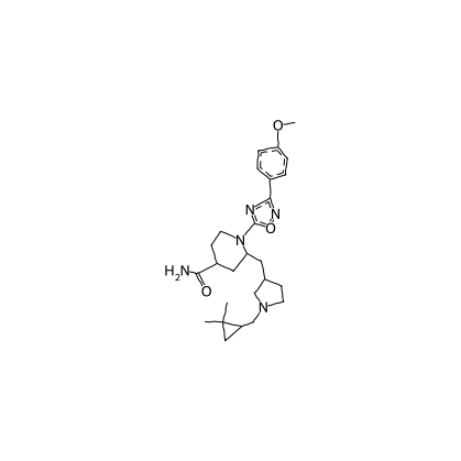 COc1ccc(-c2noc(N3CCC(C(N)=O)CC3CC3CCN(CC4CC4(C)C)C3)n2)cc1